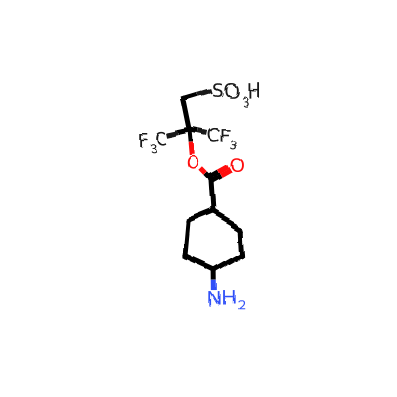 NC1CCC(C(=O)OC(CS(=O)(=O)O)(C(F)(F)F)C(F)(F)F)CC1